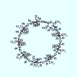 CC1O[C@@H]2O[C@@H]3C(C)O[C@H](O[C@@H]4C(C)O[C@H](O[C@@H]5C(C)O[C@H](O[C@@H]6C(C)O[C@H](O[C@@H]7C(C)O[C@H](O[C@@H]8C(C)O[C@H](O[C@@H]9C(C)O[C@H](O[C@@H]%10C(C)O[C@H](O[C@H]1[C@H](O)C2O)C(O)[C@H]%10O)C(O)[C@H]9O)C(O)[C@H]8O)C(O)[C@H]7O)C(O)[C@H]6O)C(O)[C@H]5O)C(O)[C@H]4O)C(O)[C@H]3O